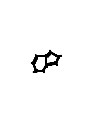 C1=Cc2cocc2CO1